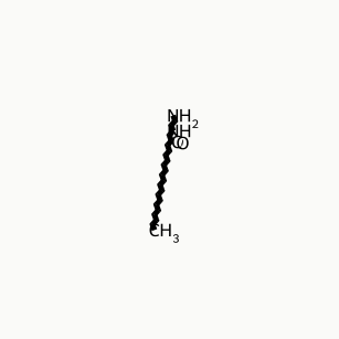 CCCCCCCCCCCCCCCCCCC(=C=O)CNCCN